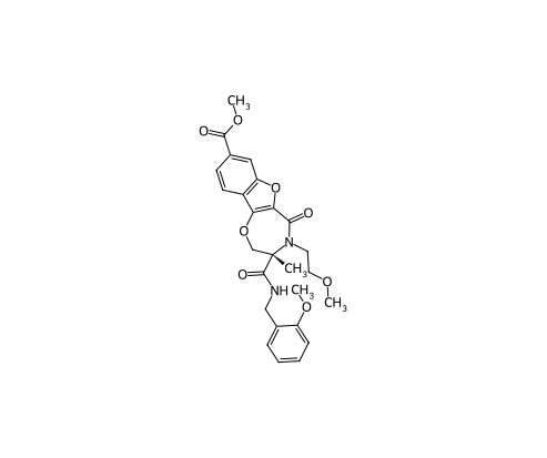 COCCN1C(=O)c2oc3cc(C(=O)OC)ccc3c2OC[C@@]1(C)C(=O)NCc1ccccc1OC